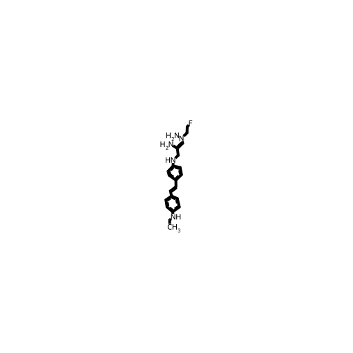 CCNc1ccc(/C=C/c2ccc(NC/C(N)=C/N(N)CCF)cc2)cc1